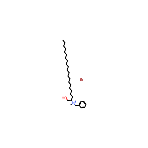 CCCCCCCCCCCCCCCCCCCCC(CO)[N+](C)(C)Cc1ccccc1.[Br-]